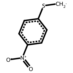 [CH2]Sc1ccc([N+](=O)[O-])cc1